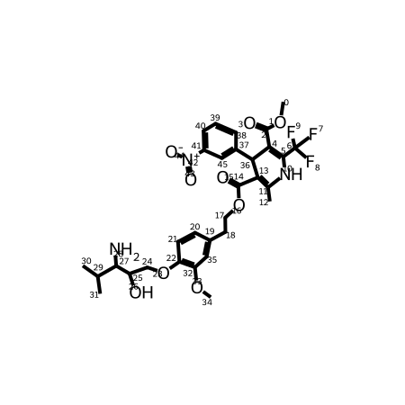 COC(=O)C1=C(C(F)(F)F)NC(C)=C(C(=O)OCCc2ccc(OCC(O)C(N)C(C)C)c(OC)c2)C1c1cccc([N+](=O)[O-])c1